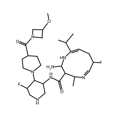 COC1CN(C(=O)C2CCN(C3C(F)CNCC3NC(=O)C3C(C)/N=C\C(F)C/C=C(/C(C)C)NC3N)CC2)C1